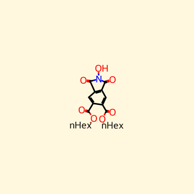 CCCCCCOC(=O)c1cc2c(cc1C(=O)OCCCCCC)C(=O)N(O)C2=O